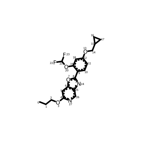 CCCOc1cc2oc(-c3ccc(OCC4CC4)cc3OC(F)F)nc2cn1